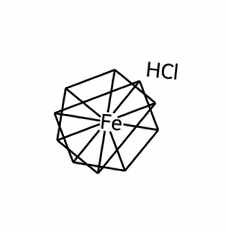 Cl.[CH]12[CH]3[CH]4[CH]5[CH]1[Fe]23451678[CH]2[CH]1[CH]6[CH]7[CH]28